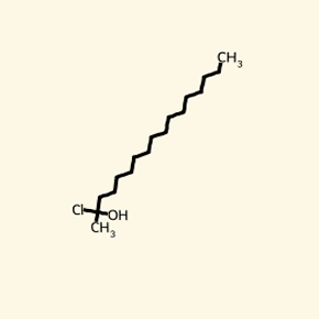 CCCCCCCCCCCCCCCC(C)(O)Cl